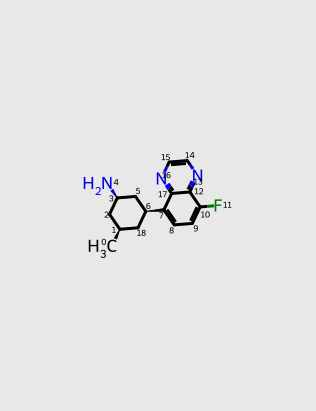 C[C@H]1C[C@@H](N)C[C@@H](c2ccc(F)c3nccnc23)C1